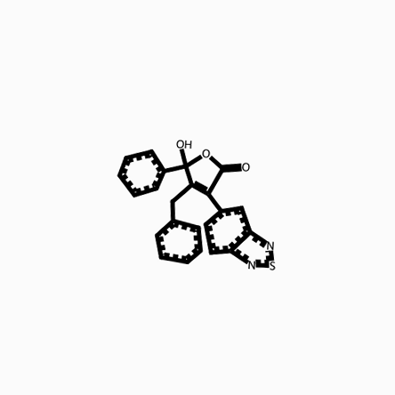 O=C1OC(O)(c2ccccc2)C(Cc2ccccc2)=C1c1ccc2nsnc2c1